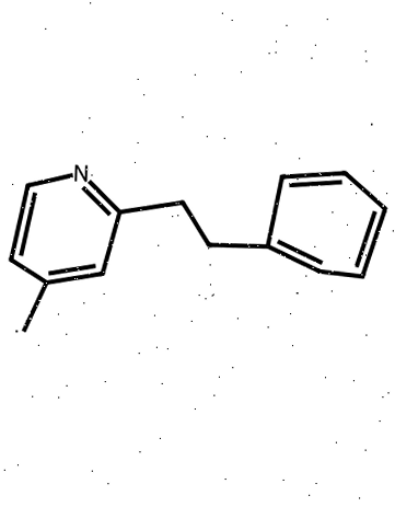 [CH2]c1ccnc(CCc2ccccc2)c1